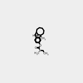 CCN(C)C(=O)Oc1ccc2c(c1)[C@@]1(C)CCCCCC(C2)[C@@H]1N